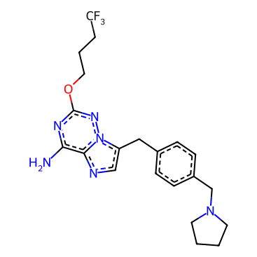 Nc1nc(OCCCC(F)(F)F)nn2c(Cc3ccc(CN4CCCC4)cc3)cnc12